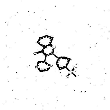 CS(=O)(=O)c1ccc(-c2oc3ccccc3c(=O)c2-c2cnccn2)cc1